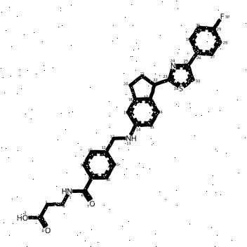 O=C(O)CCNC(=O)c1ccc(CNc2ccc3c(c2)CCC3c2nc(-c3ccc(F)cc3)cs2)cc1